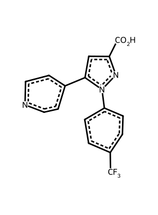 O=C(O)c1cc(-c2ccncc2)n(-c2ccc(C(F)(F)F)cc2)n1